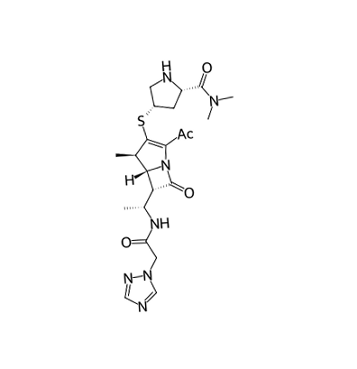 CC(=O)C1=C(S[C@@H]2CN[C@H](C(=O)N(C)C)C2)[C@H](C)[C@H]2[C@@H]([C@@H](C)NC(=O)Cn3cncn3)C(=O)N12